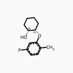 Cc1ccc(F)cc1O[C@H]1CCCC[C@H]1O